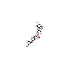 OC(COc1ccc(-c2onc3cc(F)ccc23)cc1)CN1CCC(Oc2cccc(Cl)c2)CC1